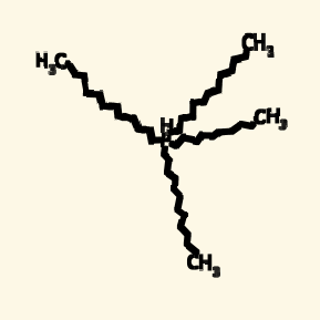 CCCCCCCCCCCCC[PH](CCCCCCCCCC)(CCCCCCCCCCCCC)CCCCCCCCCCCCC